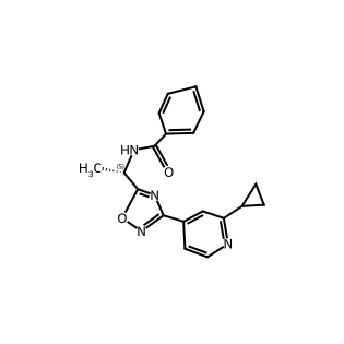 C[C@H](NC(=O)c1ccccc1)c1nc(-c2ccnc(C3CC3)c2)no1